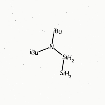 CCC(C)N([SiH2][SiH3])C(C)CC